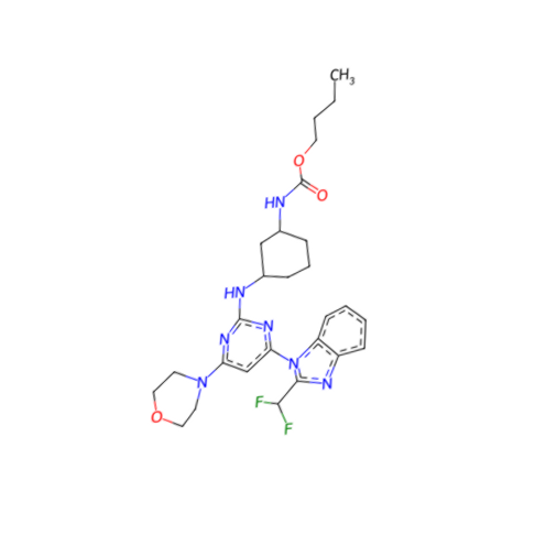 CCCCOC(=O)NC1CCCC(Nc2nc(N3CCOCC3)cc(-n3c(C(F)F)nc4ccccc43)n2)C1